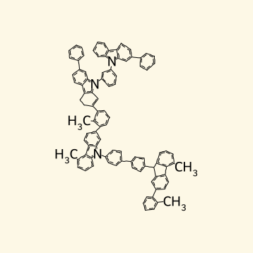 Cc1ccccc1-c1ccc2c(c1)C(c1ccc(-c3ccc(-n4c5cc(-c6cccc(C7=Cc8c(c9ccc(-c%10ccccc%10)cc9n8-c8cccc(-n9c%10ccccc%10c%10ccc(-c%11ccccc%11)cc%109)c8)CC7)c6C)ccc5c5c(C)cccc54)cc3)cc1)c1cccc(C)c1-2